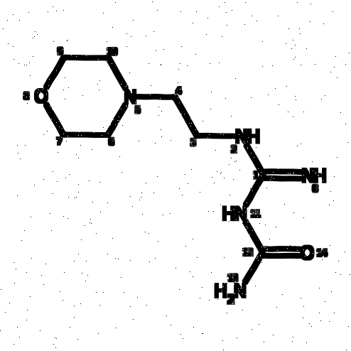 N=C(NCCN1CCOCC1)NC(N)=O